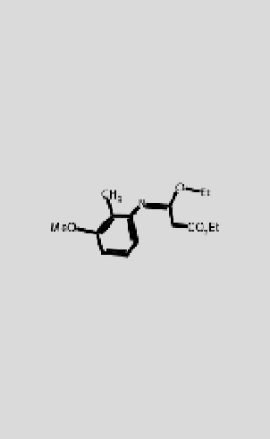 CCOC(=O)C/C(=N\c1cccc(OC)c1C)OCC